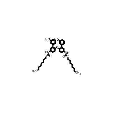 CCCCCCCCOC(=O)Nc1ccc(Oc2ccc(NC(=O)OCCCCCCCC)cc2-c2cccc(O)c2)c(-c2cccc(O)c2)c1